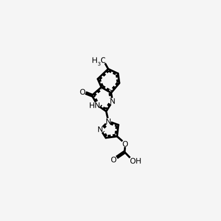 Cc1ccc2nc(-n3cc(OC(=O)O)cn3)[nH]c(=O)c2c1